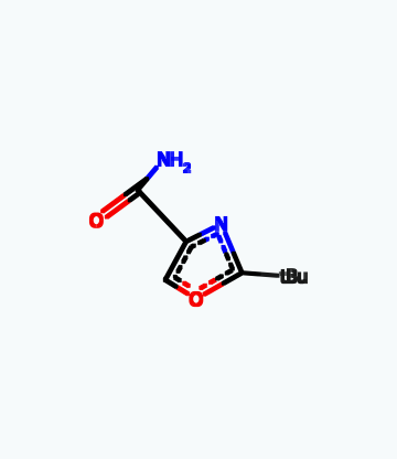 CC(C)(C)c1nc(C(N)=O)co1